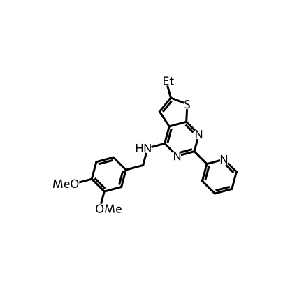 CCc1cc2c(NCc3ccc(OC)c(OC)c3)nc(-c3ccccn3)nc2s1